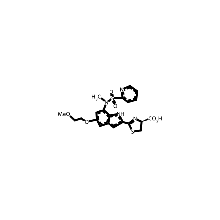 COCCOc1cc(N(C)S(=O)(=O)c2ccccn2)c2[nH]c(C3=N[C@@H](C(=O)O)CS3)cc2c1